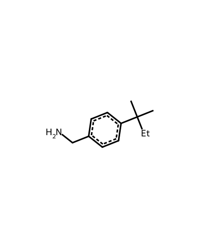 CCC(C)(C)c1ccc(CN)cc1